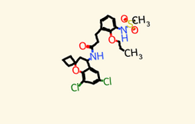 CCCOc1c(CCC(=O)NC2CC3(CCC3)Oc3c(Cl)cc(Cl)cc32)cccc1NS(C)(=O)=O